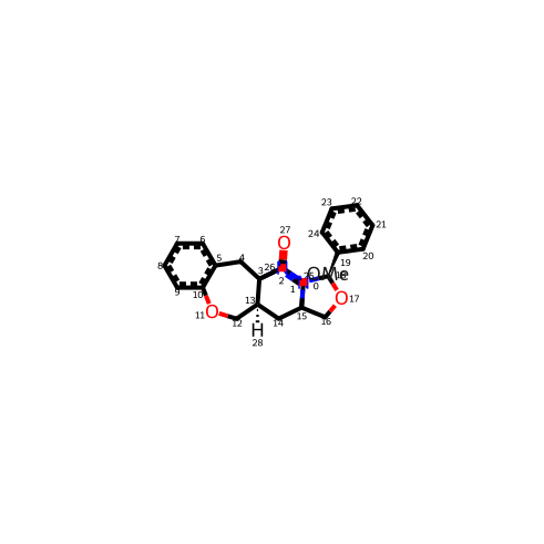 COC1=NC23Cc4ccccc4OC[C@@H]2CC12CO[C@H](c1ccccc1)N2C3=O